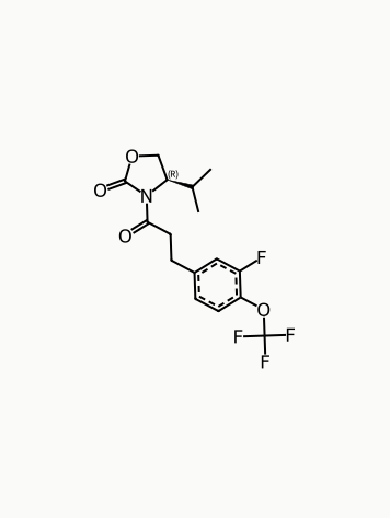 CC(C)[C@@H]1COC(=O)N1C(=O)CCc1ccc(OC(F)(F)F)c(F)c1